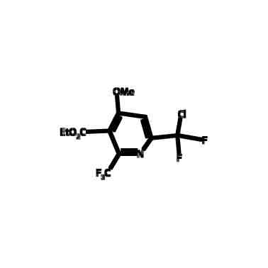 CCOC(=O)c1c(OC)cc(C(F)(F)Cl)nc1C(F)(F)F